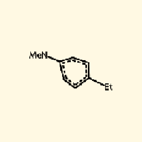 [CH]Nc1ccc(CC)cc1